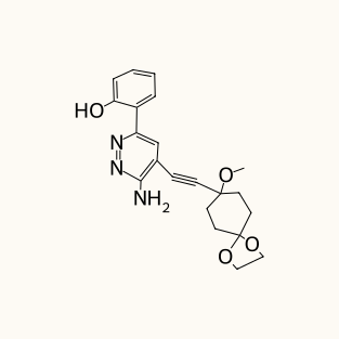 COC1(C#Cc2cc(-c3ccccc3O)nnc2N)CCC2(CC1)OCCO2